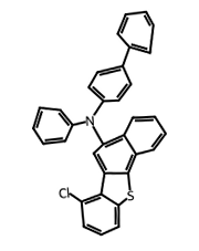 Clc1cccc2sc3c4ccccc4c(N(c4ccccc4)c4ccc(-c5ccccc5)cc4)cc3c12